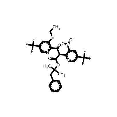 CCSc1cc(C(F)(F)F)cnc1C(=O)C(C(=O)OC(C)(C)Cc1ccccc1)c1ncc(C(F)(F)F)cc1[N+](=O)[O-]